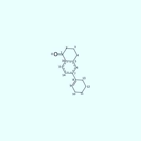 O=C1CCCc2cc(C3=CCCCC3)ccc21